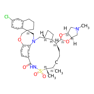 C[C@@H]1[C@@H](C)CCC[C@H]([C@H]2O[C@H]3CN(C)C[C@H]3O2)[C@@H]2CC[C@H]2CN2C[C@@]3(CCCc4cc(Cl)ccc43)COc3ccc(cc32)C(=O)NS1(=O)=O